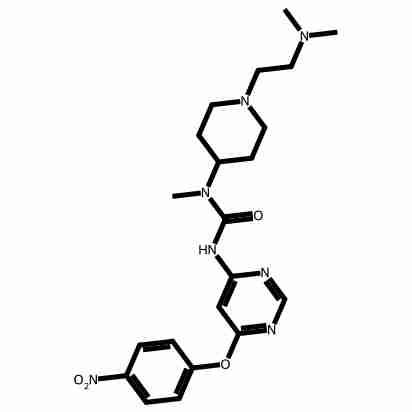 CN(C)CCN1CCC(N(C)C(=O)Nc2cc(Oc3ccc([N+](=O)[O-])cc3)ncn2)CC1